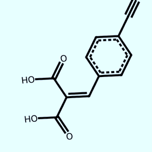 N#Cc1ccc(C=C(C(=O)O)C(=O)O)cc1